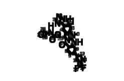 CNC(=N)N(C(=O)c1ccc(-c2cnn(C(F)F)c2)cc1)[C@H](COC(=O)NC1COC1)c1ccc(Cl)c(-c2ncn[nH]2)c1